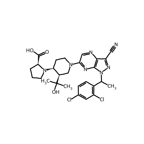 CC(c1ccc(Cl)cc1Cl)n1nc(C#N)c2ncc(N3CC[C@H](N4CCC[C@H]4C(=O)O)[C@H](C(C)(C)O)C3)nc21